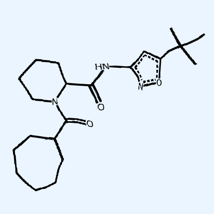 CC(C)(C)c1cc(NC(=O)C2CCCCN2C(=O)C2CCCCCC2)no1